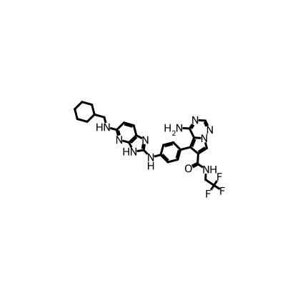 Nc1ncnn2cc(C(=O)NCC(F)(F)F)c(-c3ccc(Nc4nc5ccc(NCC6CCCCC6)nc5[nH]4)cc3)c12